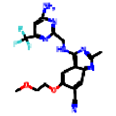 COCCOc1cc2c(NCc3nc(N)cc(C(F)(F)F)n3)nc(C)nc2cc1C#N